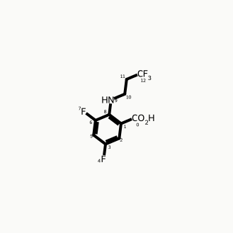 O=C(O)c1cc(F)cc(F)c1NCCC(F)(F)F